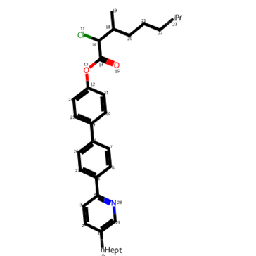 CCCCCCCc1ccc(-c2ccc(-c3ccc(OC(=O)C(Cl)C(C)CCCC(C)C)cc3)cc2)nc1